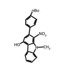 CCCCc1ccc(-c2cc(O)c3c4ccccc4n(C)c3c2[N+](=O)[O-])cc1